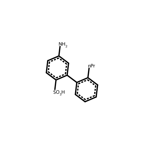 CCCc1ccccc1-c1cc(N)ccc1S(=O)(=O)O